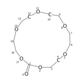 O=C1OCCOCCOCCOCCOCCO1